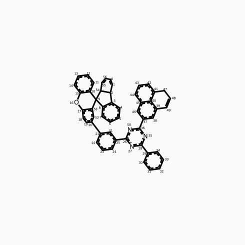 C1=CC2c3ccccc3C3(c4ccccc4Oc4ccc(-c5cccc(-c6nc(-c7ccccc7)nc(-c7cc8c9c(cccc9c7)CC=C8)n6)c5)cc43)C2C=C1